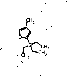 [CH2]c1coc([Si](CC)(CC)CC)c1